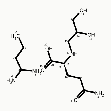 CCCC(N)N.NC(=O)CC[C@H](NCC(O)CO)C(=O)O